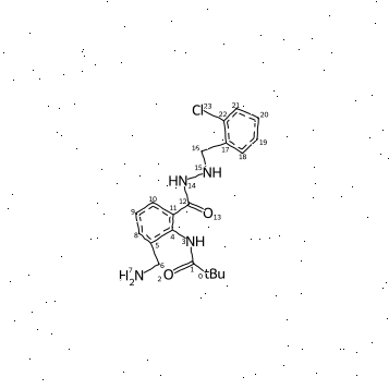 CC(C)(C)C(=O)Nc1c(CN)cccc1C(=O)NNCc1ccccc1Cl